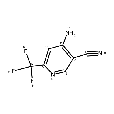 N#Cc1cnc(C(F)(F)F)cc1N